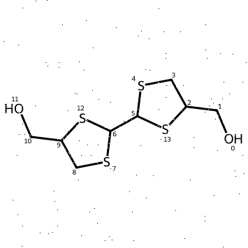 OCC1CSC(C2SCC(CO)S2)S1